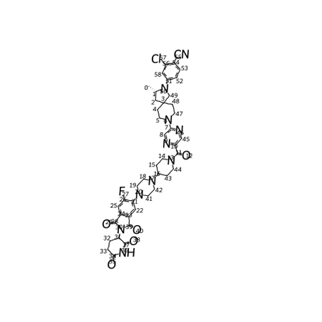 C[C@H]1CC2(CCN(c3cnc(C(=O)N4CCC(N5CCN(c6cc7c(cc6F)C(=O)N(C6CCC(=O)NC6=O)C7=O)CC5)CC4)cn3)CC2)CN1c1ccc(C#N)c(Cl)c1